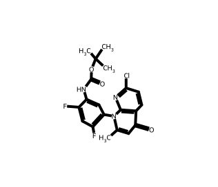 Cc1cc(=O)c2ccc(Cl)nc2n1-c1cc(NC(=O)OC(C)(C)C)c(F)cc1F